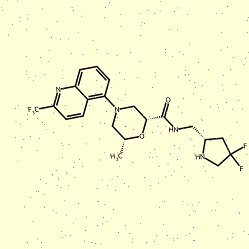 C[C@@H]1CN(c2cccc3nc(C(F)(F)F)ccc23)C[C@H](C(=O)NC[C@@H]2CC(F)(F)CN2)O1